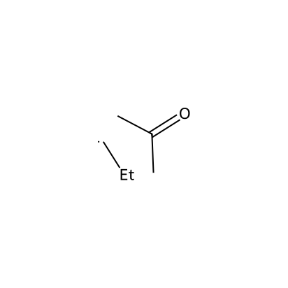 CC(C)=O.[CH2]CC